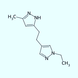 CCn1cc(CCc2cc(C)n[nH]2)cn1